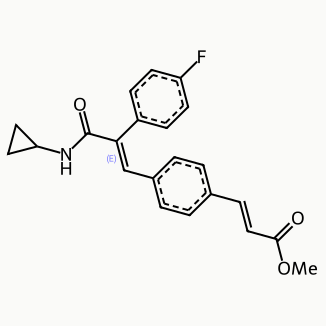 COC(=O)C=Cc1ccc(/C=C(/C(=O)NC2CC2)c2ccc(F)cc2)cc1